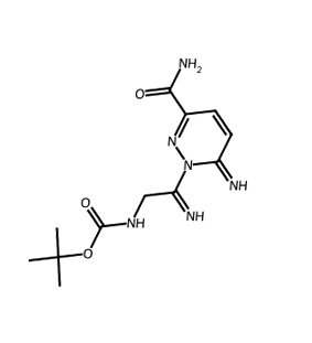 CC(C)(C)OC(=O)NCC(=N)n1nc(C(N)=O)ccc1=N